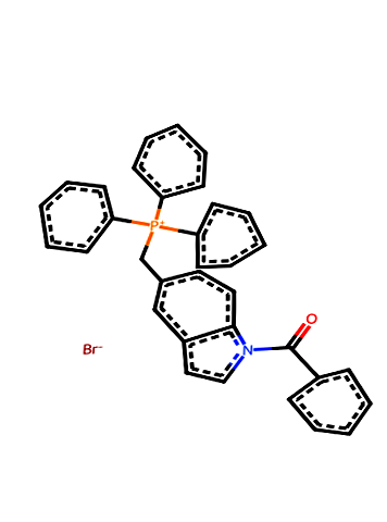 O=C(c1ccccc1)n1ccc2cc(C[P+](c3ccccc3)(c3ccccc3)c3ccccc3)ccc21.[Br-]